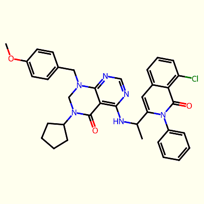 COc1ccc(CN2CN(C3CCCC3)C(=O)c3c(NC(C)c4cc5cccc(Cl)c5c(=O)n4-c4ccccc4)ncnc32)cc1